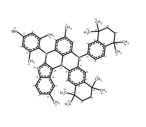 Cc1cc2c3c(c1)N(c1c(C)cc(C(C)(C)C)cc1C)c1sc4ccc(C)cc4c1B3c1cc3c(cc1N2c1ccc2c(c1)C(C)(C)CCC2(C)C)C(C)(C)CCC3(C)C